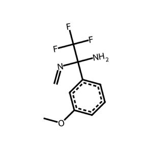 C=NC(N)(c1cccc(OC)c1)C(F)(F)F